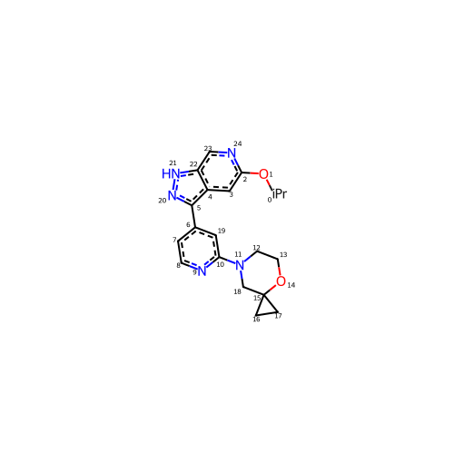 CC(C)Oc1cc2c(-c3ccnc(N4CCOC5(CC5)C4)c3)n[nH]c2cn1